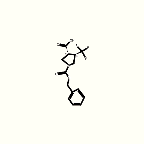 O=C(O)[C@H]1CN(C(=O)OCc2ccccc2)C[C@@H]1C(F)(F)F